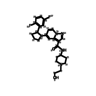 O=C(NC1CCN(CCO)CC1)c1cnn2ccc(N3CCCC3c3cc(F)ccc3F)cc12